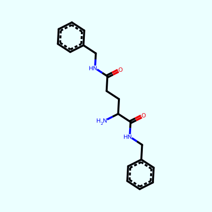 NC(CCC(=O)NCc1ccccc1)C(=O)NCc1ccccc1